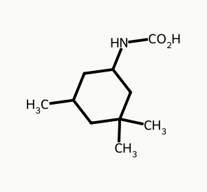 CC1CC(NC(=O)O)CC(C)(C)C1